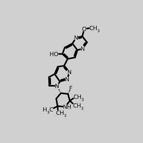 COc1cnc2cc(-c3cc4ccn([C@H]5CC(C)(C)NC(C)(C)[C@H]5F)c4nn3)c(O)cc2n1